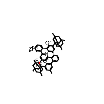 Cc1cc(-c2ccccc2-c2cc(C(F)(F)F)cc(-c3ccccc3-c3cc(C)cc(C45CC6(C)CC(C)(CC(C)(C6)C4)C5)c3[O-])n2)c([O-])c(C23CC4(C)CC(C)(CC(C)(C4)C2)C3)c1.[CH3][Zr+2][CH3]